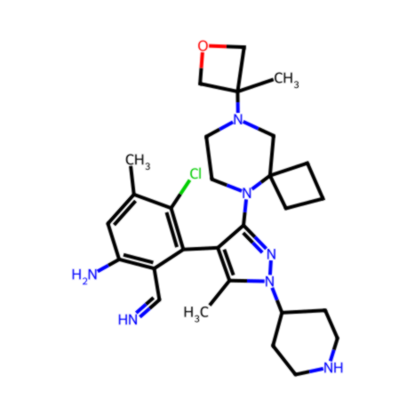 Cc1cc(N)c(C=N)c(-c2c(N3CCN(C4(C)COC4)CC34CCC4)nn(C3CCNCC3)c2C)c1Cl